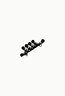 O=C(OCc1ccccc1)OCC(COCC(COCC(COCC(COC(=O)OCc1ccccc1)OC(=O)OCc1ccccc1)OC(=O)OCc1ccccc1)OC(=O)OCc1ccccc1)OC(=O)OCc1ccccc1